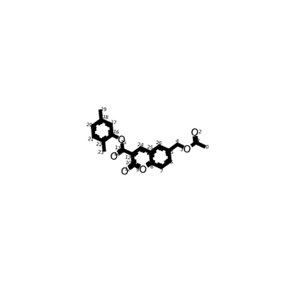 CC(=O)OCc1ccc2oc(=O)c(C(=O)Oc3cc(C)ccc3C)cc2c1